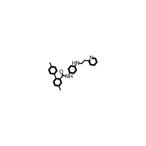 Cc1ccc(-c2ccc(C)cc2C(=O)Nc2ccc(NCCc3ccccn3)cc2)cc1